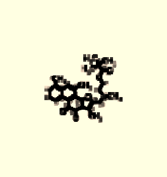 CC1=c2cc(C)c3c(c2=CCC1)C(=O)C(=O)c1c-3oc(CN(C)CCOC(=O)C(C)(C)C)c1C